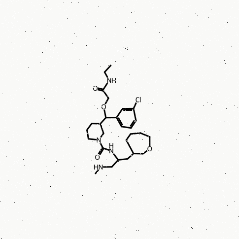 CCNC(=O)COC(c1cccc(Cl)c1)C1CCCN(C(=O)NC(CNC)CC2CCCCOC2)C1